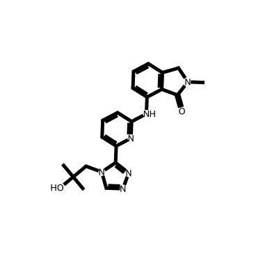 CN1Cc2cccc(Nc3cccc(-c4nncn4CC(C)(C)O)n3)c2C1=O